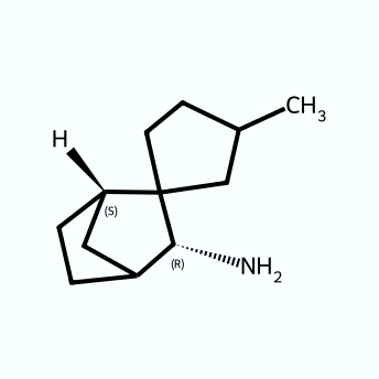 CC1CCC2(C1)[C@H]1CCC(C1)[C@H]2N